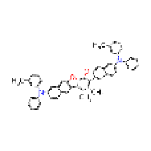 Cc1cccc(N(c2ccccc2)c2ccc3cc4c(cc3c2)oc2c3oc5cc6cc(N(c7ccccc7)c7cccc(C)c7)ccc6cc5c3c(C)c(C)c42)c1